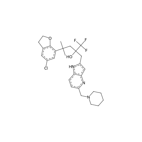 CC(C)(CC(O)(Cc1cc2nc(CN3CCCCC3)ccc2[nH]1)C(F)(F)F)c1cc(Cl)cc2c1OCC2